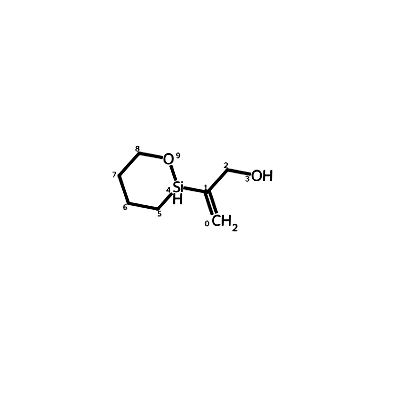 C=C(CO)[SiH]1CCCCO1